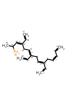 C=C/C=C\C/C(C=C)=C\C/C(C=C)=C/C/C(C=C)=C\C(C)P